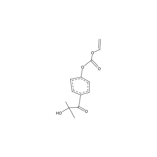 C=COC(=O)Oc1ccc(C(=O)C(C)(C)O)cc1